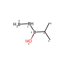 BBB(O)C(C)C